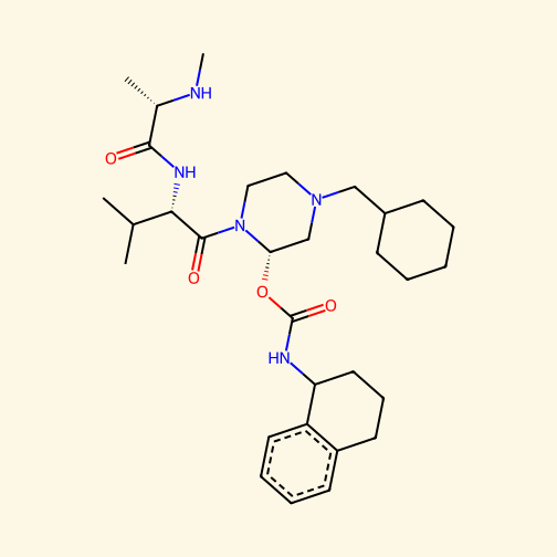 CN[C@@H](C)C(=O)N[C@H](C(=O)N1CCN(CC2CCCCC2)C[C@@H]1OC(=O)NC1CCCc2ccccc21)C(C)C